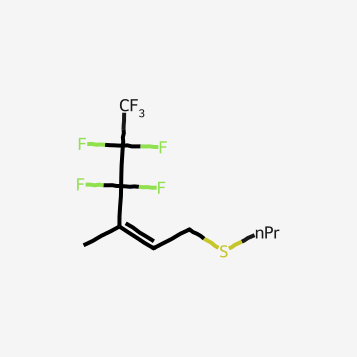 [CH2]CCSCC=C(C)C(F)(F)C(F)(F)C(F)(F)F